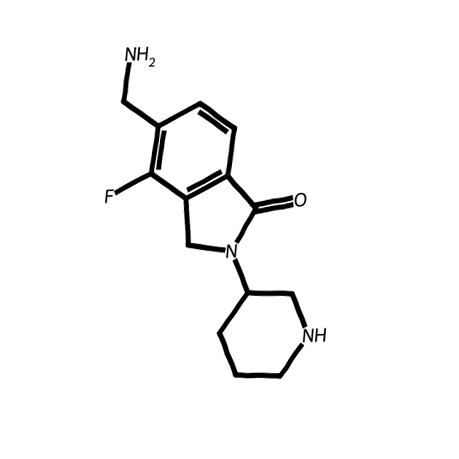 NCc1ccc2c(c1F)CN(C1CCCNC1)C2=O